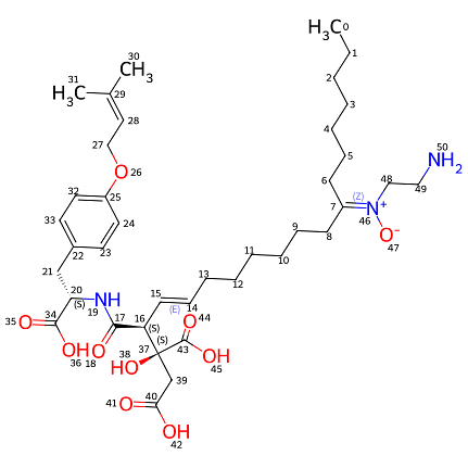 CCCCCCC/C(CCCCCC/C=C/[C@H](C(=O)N[C@@H](Cc1ccc(OCC=C(C)C)cc1)C(=O)O)[C@@](O)(CC(=O)O)C(=O)O)=[N+](/[O-])CCN